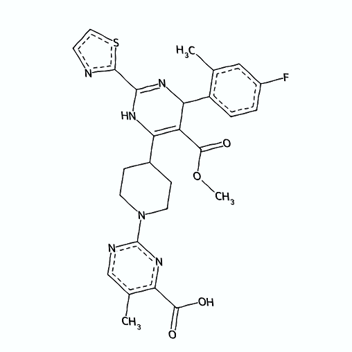 COC(=O)C1=C(C2CCN(c3ncc(C)c(C(=O)O)n3)CC2)NC(c2nccs2)=NC1c1ccc(F)cc1C